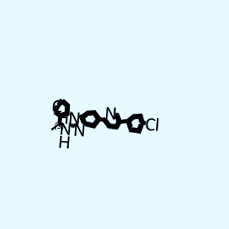 C[C@H](Nc1nc2cc(-c3ccc(-c4ccc(Cl)cc4)cn3)ccc2[nH]1)c1ccccc1